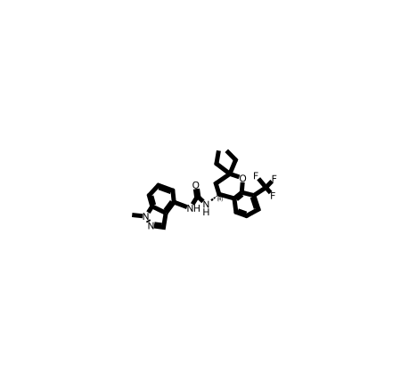 CCC1(CC)C[C@@H](NC(=O)Nc2cccc3c2cnn3C)c2cccc(C(F)(F)F)c2O1